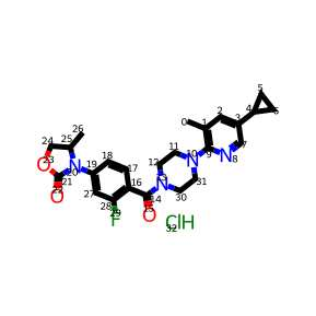 Cc1cc(C2CC2)cnc1N1CCN(C(=O)c2ccc(N3C(=O)OCC3C)cc2F)CC1.Cl